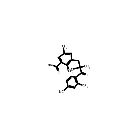 CC(C)(C)C(=O)c1cc(C(F)(F)F)cc(CC(C)(C)C(=O)c2ccc(C#N)cc2C(F)(F)F)c1C(F)(F)F